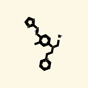 CCN(CC[n+]1ccccc1)c1ccc(/N=N/c2nccs2)c(C)c1.[Br-]